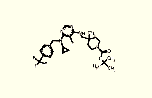 CC1(CNc2ncnc(N(Cc3ccc(C(F)(F)F)cc3)C3CC3)c2F)CCN(C(=O)OC(C)(C)C)CC1